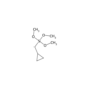 CO[Si]([CH]C1CC1)(OC)OC